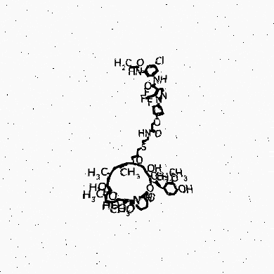 C=CC(=O)Nc1cc(Cl)cc(NC(=O)c2cnn(-c3ccc(OCC(=O)NCCSCCC[C@@H]4/C=C(\C)C[C@H](C)C[C@H](O)[C@H]5O[C@@](O)(C(=O)C(=O)N6CCCC[C@H]6C(=O)O[C@H](/C(C)=C/[C@@H]6CC[C@@H](O)[C@H](OC)C6)[C@H](C)[C@@H](O)CC4=O)[C@H](C)C[C@@H]5C)cc3)c2C(F)(F)F)c1